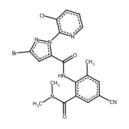 Cc1cc(C#N)cc(C(=O)N(C)C)c1NC(=O)c1cc(Br)nn1-c1ncccc1Cl